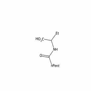 CCCCCC(=O)NC(CC)C(=O)O